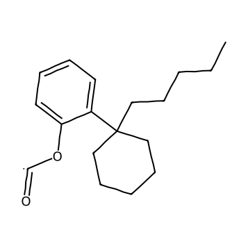 CCCCCC1(c2ccccc2O[C]=O)CCCCC1